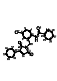 O=C(Nc1ccc(Cl)cc1CN1C(=O)C=C(c2ccccc2)C1=O)c1ccccn1